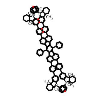 CC12CCCCC1(C)N(c1ccccc1)c1ccc(-c3ccc(-c4ccc5c6c(-c7ccccc7)c7c8ccc(-c9ccc(-c%10ccc%11c(c%10)C%10(C)CCCCC%10(C)N%11c%10ccccc%10)cc9)c9c(-c%10ccc(-c%11ccc%12c(c%11)C%11(C)CCCCC%11(C)N%12c%11ccccc%11)cc%10)ccc(c7c(-c7ccccc7)c6c6ccc(-c7ccc(-c%10ccc%11c(c%10)C%10(C)CCCCC%10(C)N%11c%10ccccc%10)cc7)c4c56)c98)cc3)cc12